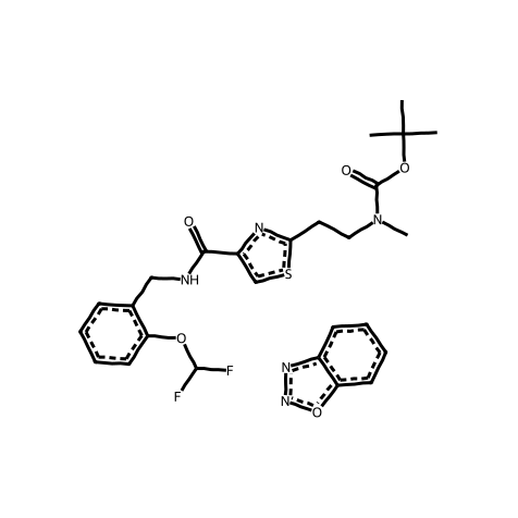 CN(CCc1nc(C(=O)NCc2ccccc2OC(F)F)cs1)C(=O)OC(C)(C)C.c1ccc2onnc2c1